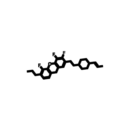 C/C=C/C1CCC(CCc2cc3c(c(F)c2F)Oc2c(ccc(CCC)c2F)C3)CC1